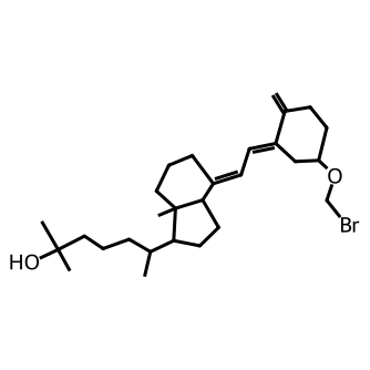 C=C1CCC(OCBr)CC1=CC=C1CCCC2(C)C1CCC2C(C)CCCC(C)(C)O